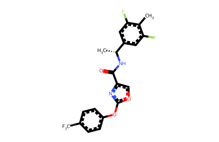 Cc1c(F)cc([C@@H](C)NC(=O)c2coc(Oc3ccc(C(F)(F)F)cc3)n2)cc1F